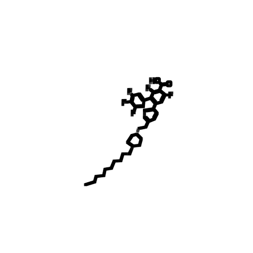 CCCCCCCCCC[C@H]1CC[C@H](CCc2ccc(-c3cc(F)c(C(=O)O)c(F)c3-c3cc(F)c(F)c(F)c3)cc2)CC1